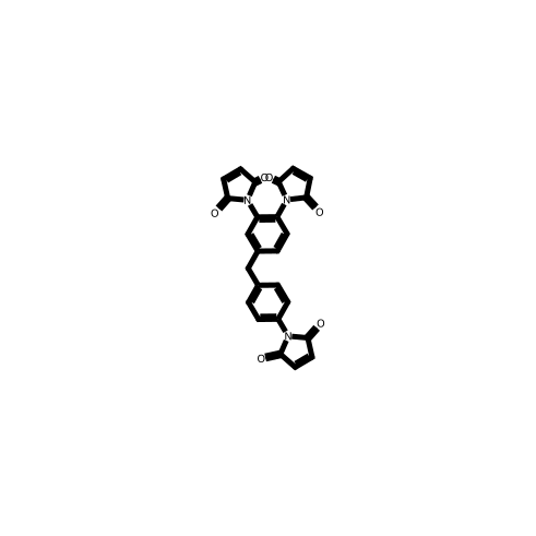 O=C1C=CC(=O)N1c1ccc(Cc2ccc(N3C(=O)C=CC3=O)c(N3C(=O)C=CC3=O)c2)cc1